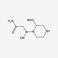 COC1CNCCN1N(CC(N)=O)N=O